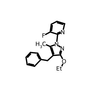 CCOc1nn(-c2ncccc2F)c(C)c1Cc1ccccc1